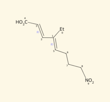 CCC(/C=C/C(=O)O)=C\CCC[N+](=O)[O-]